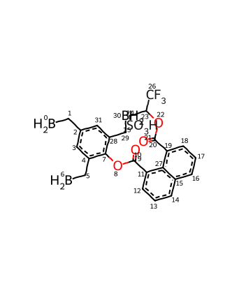 BCc1cc(CB)c(OC(=O)c2cccc3cccc(C(=O)OC(CS(=O)(=O)O)C(F)(F)F)c23)c(CB)c1